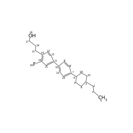 CCCC1CCC(c2ccc(-c3ccc(CCCO)c(F)c3)cc2)CC1